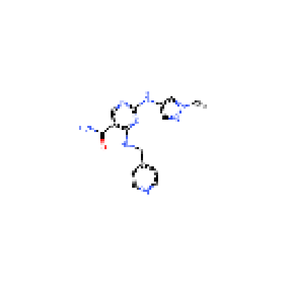 Cn1cc(Nc2ncc(C(N)=O)c(NCc3ccncc3)n2)cn1